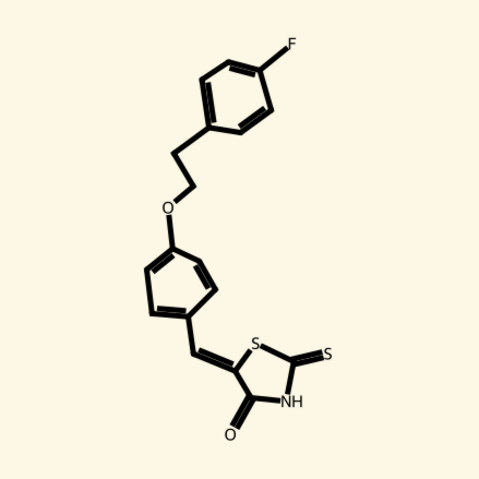 O=C1NC(=S)S/C1=C\c1ccc(OCCc2ccc(F)cc2)cc1